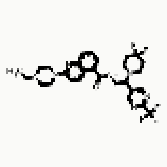 CCN1CCN(c2ccc3c(C(=O)NCC(c4cnc(C(F)(F)F)nc4)N4CCC(F)(F)CC4)cccc3n2)CC1